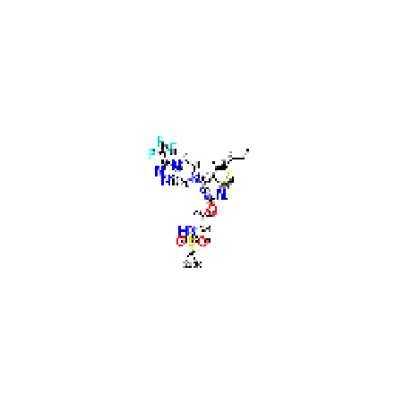 CCCc1cc2c(N3CCn4c(nnc4C(F)(F)F)C3)nc(OCCNS(=O)(=O)C3CC3)nc2s1